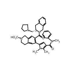 Cc1c(C(=O)N(C)c2ccccc2)cc(-c2cc3c(cc2C(=O)N2Cc4ccccc4C[C@H]2CN2CCCC2)CN(C(=O)O)CC3)n1C